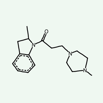 CC1Cc2ccccc2N1C(=O)CCN1CCN(C)CC1